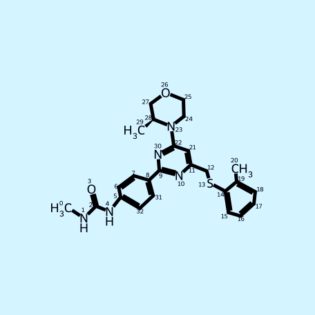 CNC(=O)Nc1ccc(-c2nc(CSc3ccccc3C)cc(N3CCOC[C@@H]3C)n2)cc1